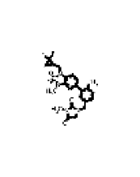 Cc1ccc(CN2CC(=O)N(C)C2=O)cc1-c1ccc2c(n1)N(C)S(=O)(=O)N2CC1CC1(F)F